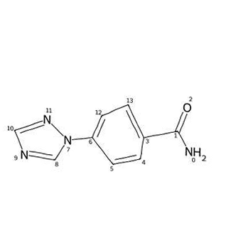 NC(=O)c1ccc(-n2cncn2)cc1